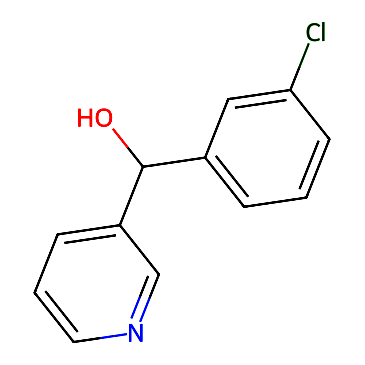 OC(c1cccnc1)c1cccc(Cl)c1